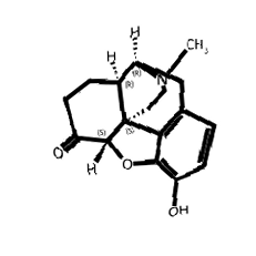 CN1CC[C@]23c4c5ccc(O)c4O[C@@H]2C(=O)CC[C@H]3[C@H]1C5